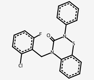 O=C1N(Cc2c(F)cccc2Cl)c2ccccc2SN1c1ccccc1